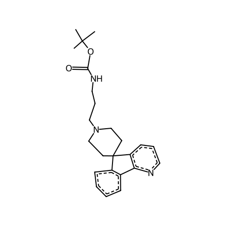 CC(C)(C)OC(=O)NCCCN1CCC2(CC1)c1ccccc1-c1ncccc12